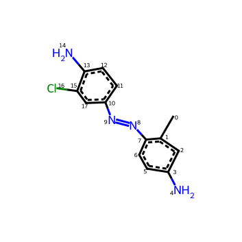 Cc1cc(N)ccc1/N=N/c1ccc(N)c(Cl)c1